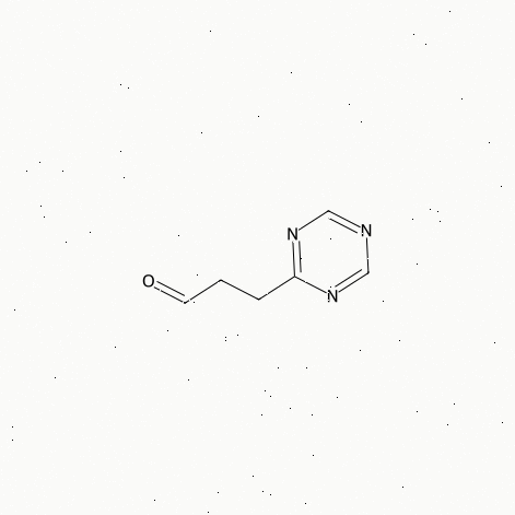 O=CCCc1ncncn1